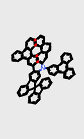 c1ccc2c(c1)-c1ccccc1C21c2ccccc2-c2cc(-c3ccc4c5ccccc5c5ccccc5c4c3)c(N(c3ccc4c(ccc5ccccc54)c3)c3ccc4c5ccccc5c5ccccc5c4c3)cc21